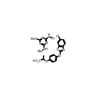 CC(Oc1ccc(Oc2nc3ccc(Cl)cc3o2)cc1)C(=O)O.CCNc1nc(NC(C)(C)C)nc(SC)n1